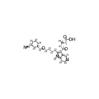 C[C@@H](CC(=O)O)CC(=O)c1c(CCCCOCc2cccc(C#N)c2)n(C)c2ccncc12